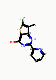 Cc1c(Br)sc2c(O)nc(-c3ccccn3)nc12